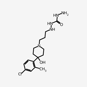 Cc1cc(Cl)ccc1C1(O)CCN(CCCNNC(=O)NN)CC1